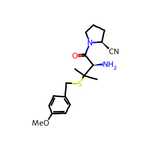 COc1ccc(CSC(C)(C)[C@H](N)C(=O)N2CCC[C@H]2C#N)cc1